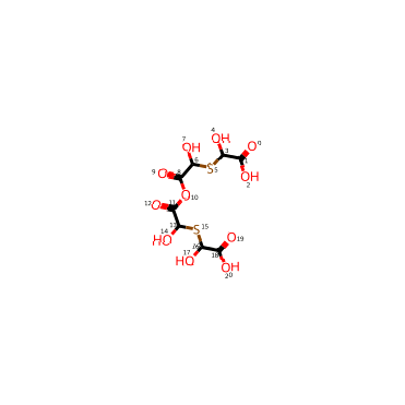 O=C(O)C(O)SC(O)C(=O)OC(=O)C(O)SC(O)C(=O)O